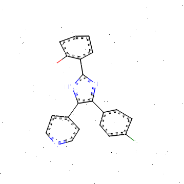 Oc1ccccc1-c1nc(-c2ccc(F)cc2)c(-c2ccncc2)[nH]1